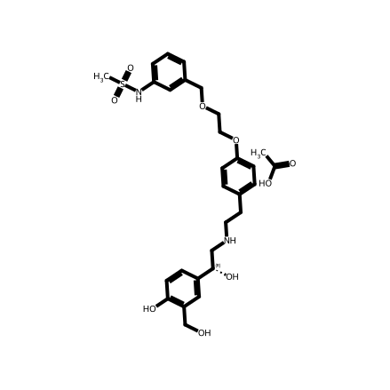 CC(=O)O.CS(=O)(=O)Nc1cccc(COCCOc2ccc(CCNC[C@H](O)c3ccc(O)c(CO)c3)cc2)c1